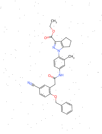 CCOC(=O)c1nn(-c2ccc(NC(=O)Cc3cc(C#N)ccc3OCc3ccccc3)cc2C)c2c1CCC2